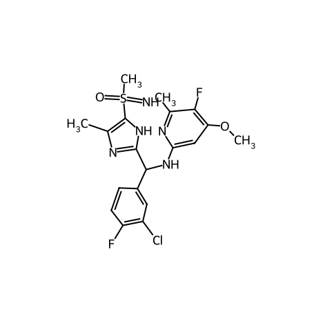 COc1cc(NC(c2ccc(F)c(Cl)c2)c2nc(C)c(S(C)(=N)=O)[nH]2)nc(C)c1F